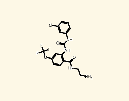 NCCNC(=O)c1ccc(OC(F)(F)F)cc1NC(=O)Nc1cccc(Cl)c1